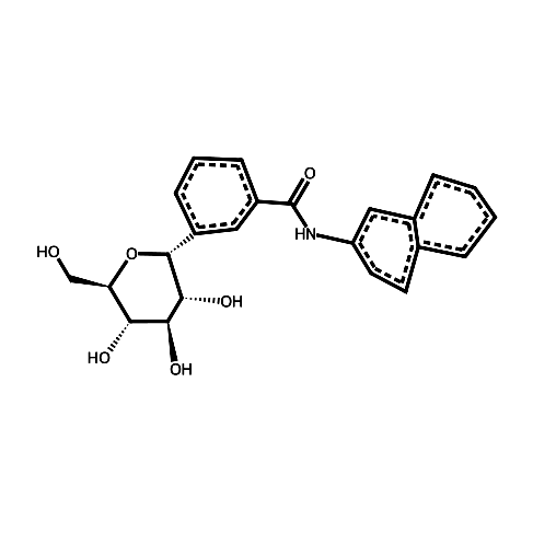 O=C(Nc1ccc2ccccc2c1)c1cccc([C@H]2O[C@H](CO)[C@@H](O)[C@H](O)[C@H]2O)c1